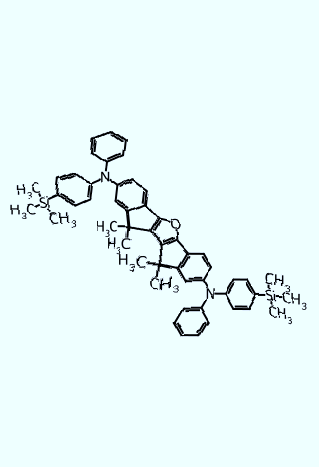 CC1(C)c2cc(N(c3ccccc3)c3ccc([Si](C)(C)C)cc3)ccc2-c2oc3c(c21)C(C)(C)c1cc(N(c2ccccc2)c2ccc([Si](C)(C)C)cc2)ccc1-3